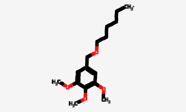 [CH2]CCCCCOCc1cc(OC)c(OC)c(OC)c1